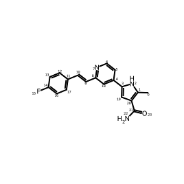 Cc1[nH]c(-c2ccnc(C=Cc3ccc(F)cc3)c2)cc1C(N)=O